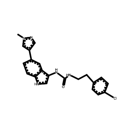 Cn1cc(-c2ccc3[nH]cc(NC(=O)NCCc4ccc(Cl)cc4)c3c2)cn1